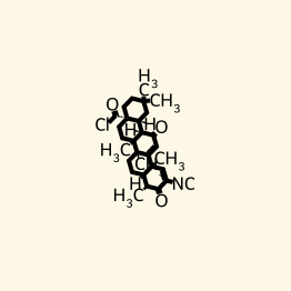 [C-]#[N+]C1=C[C@]2(C)C3=CC(=O)[C@@H]4[C@@H]5CC(C)(C)CC[C@]5(C(=O)Cl)CC[C@@]4(C)[C@]3(C)CC[C@H]2[C@H](C)C1=O